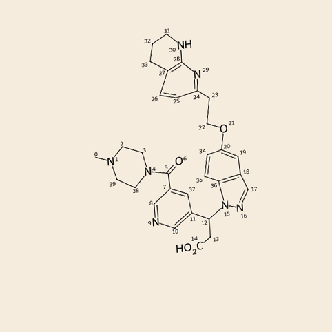 CN1CCN(C(=O)c2cncc(C(CC(=O)O)n3ncc4cc(OCCc5ccc6c(n5)NCCC6)ccc43)c2)CC1